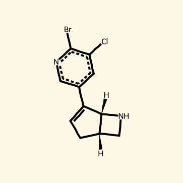 Clc1cc(C2=CC[C@H]3CN[C@@H]23)cnc1Br